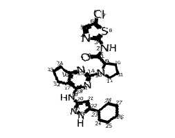 O=C(Nc1ncc(Cl)s1)C1CCCN1c1nc2c(c(Nc3cc(C4CCCCC4)[nH]n3)n1)CCC2